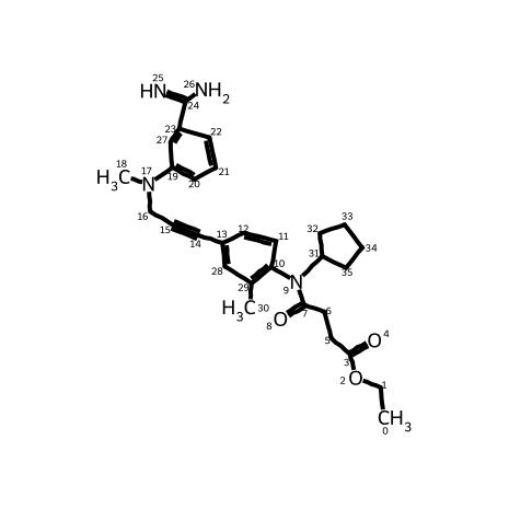 CCOC(=O)CCC(=O)N(c1ccc(C#CCN(C)c2cccc(C(=N)N)c2)cc1C)C1CCCC1